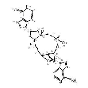 Nc1ncnc2c1ncn2[C@@H]1OC2CC[C@H]3C[C@H](n4cnc5c(=O)[nH]cnc54)O[C@@H]3COP(=O)(O)O[C@@H]1[C@@H]2O